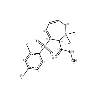 Cc1cc(Br)ccc1S(=O)(=O)C1=CC=CS[N+](C)(C)C1C(=O)NO